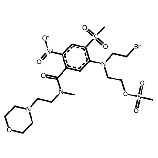 CN(CCN1CCOCC1)C(=O)c1cc(N(CCBr)CCOS(C)(=O)=O)c(S(C)(=O)=O)cc1[N+](=O)[O-]